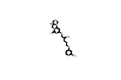 C=C(CCCOc1ccnc(C(F)(F)F)c1)COc1cc2n(c(=O)n1)C[C@@H]1COCN21